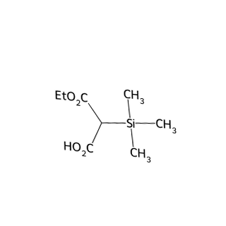 CCOC(=O)C(C(=O)O)[Si](C)(C)C